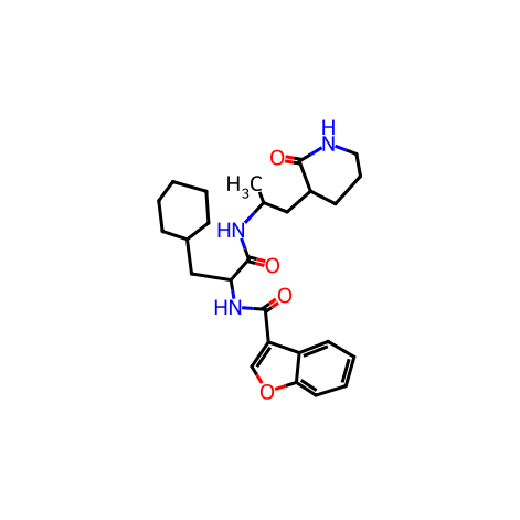 CC(CC1CCCNC1=O)NC(=O)C(CC1CCCCC1)NC(=O)c1coc2ccccc12